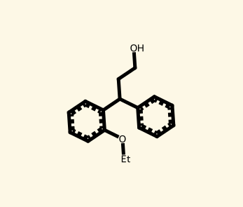 CCOc1ccccc1C(CCO)c1ccccc1